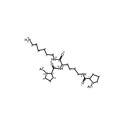 CC(=O)N1CCCC1C(=O)NCCCCC(NC(=O)C1CCCN1C(C)=O)C(=O)NCCCCCCN